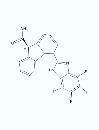 NC(=O)[C@@H]1c2ccccc2-c2c(-c3nc4c(F)c(F)c(F)c(F)c4[nH]3)cccc21